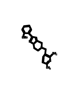 COc1ccccc1-c1cc2n(n1)CCN(Cc1ccc(C)nc1N)C2